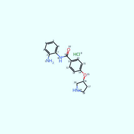 Cl.Nc1ccccc1NC(=O)c1ccc(O[C@H]2CCNC2)cc1